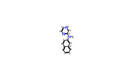 CN(c1ccc2ccccc2c1)c1cnccn1